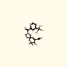 CC1(C)CC2(C=C(C#N)C1=O)CCN(C(=O)c1cc(C(F)(F)F)ccn1)C2